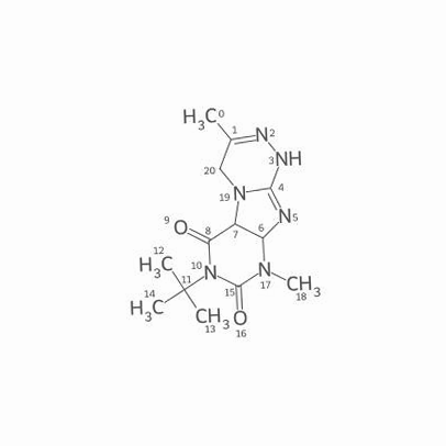 CC1=NNC2=NC3C(C(=O)N(C(C)(C)C)C(=O)N3C)N2C1